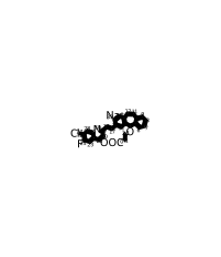 O=C([O-])CCOC1c2ccccc2C=Cc2ccc(/C=C/c3ccc4cc(F)c(Cl)cc4n3)cc21.[Na+]